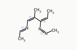 C/C=N/C=C(C)\C(=C/C)\N=N/C